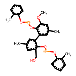 COc1cc(C)cc(-c2cc(C)cc(CO)c2OPOc2ccccc2C)c1OPOc1ccccc1C